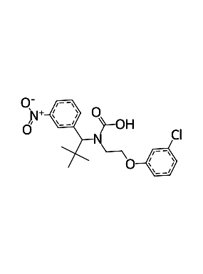 CC(C)(C)C(c1cccc([N+](=O)[O-])c1)N(CCOc1cccc(Cl)c1)C(=O)O